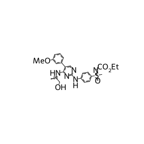 CCOC(=O)N=S(C)(=O)c1ccc(Nc2ncc(-c3cccc(OC)c3)c(N[C@H](C)CO)n2)cc1